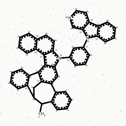 CC1c2ccccc2-c2cc3c(c4c2CC1c1ccccc1-4)c1c2ccccc2ccc1n3-c1cccc(-n2c3ccccc3c3ccncc32)c1